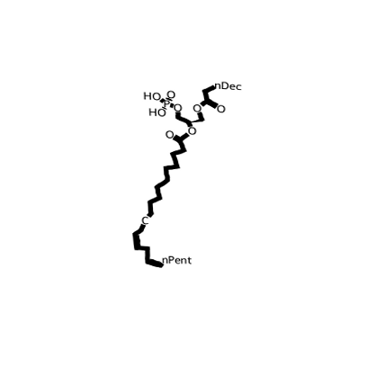 CCCCC/C=C\C/C=C\CCCCCCCCCCCC(=O)O[C@H](COC(=O)CCCCCCCCCCC)COP(=O)(O)O